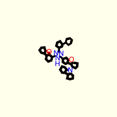 C1=CCC(c2cccc(C3=NC(c4cccc5c4oc4ccccc45)NC(c4ccc5c(c4)oc4cccc(-n6c7ccccc7c7ccccc76)c45)=N3)c2)C=C1